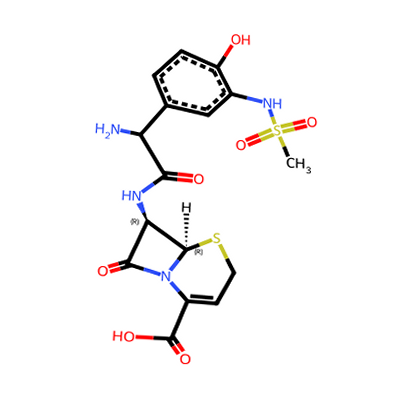 CS(=O)(=O)Nc1cc(C(N)C(=O)N[C@@H]2C(=O)N3C(C(=O)O)=CCS[C@H]23)ccc1O